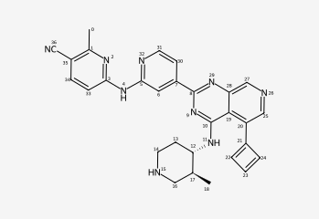 Cc1nc(Nc2cc(-c3nc(N[C@H]4CCNC[C@@H]4C)c4c(C5=CC=C5)cncc4n3)ccn2)ccc1C#N